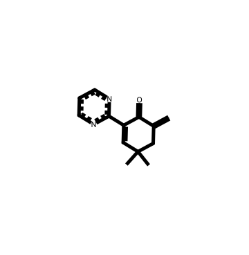 C=C1CC(C)(C)C=C(c2ncccn2)C1=O